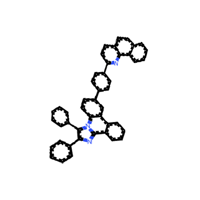 c1ccc(-c2nc3c4ccccc4c4cc(-c5ccc(-c6ccc7ccc8ccccc8c7n6)cc5)ccc4n3c2-c2ccccc2)cc1